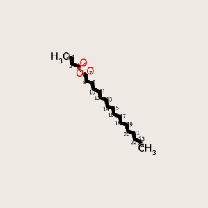 CC=CC(=O)OC(=O)CCCCCCCCCCCCCCCCC